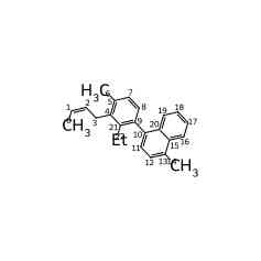 C/C=C\Cc1c(C)ccc(-c2ccc(C)c3ccccc23)c1CC